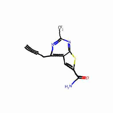 C#CCc1nc(C(F)(F)F)nc2sc(C(N)=O)cc12